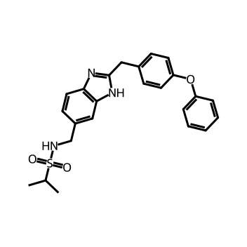 CC(C)S(=O)(=O)NCc1ccc2nc(Cc3ccc(Oc4ccccc4)cc3)[nH]c2c1